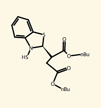 CCCCOC(=O)CC(C(=O)OCCCC)[C@@H]1Sc2ccccc2N1S